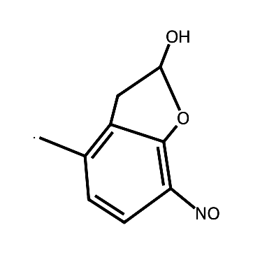 [CH2]c1ccc(N=O)c2c1CC(O)O2